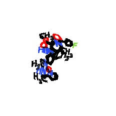 CCOC(=O)C1=CN(C(=O)c2ccc(F)cc2)CC(C)(C)c2c1[nH]c1cc(N(C)C(=O)NC(C)c3ccccn3)ccc21